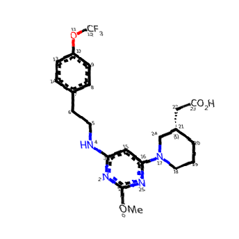 COc1nc(NCCc2ccc(OC(F)(F)F)cc2)cc(N2CCC[C@@H](CC(=O)O)C2)n1